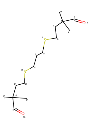 CC(C)(C=O)CCSCCCSCCC(C)(C)C=O